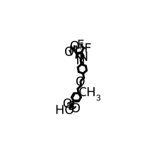 CC1(CCOCC2CCC(n3cc([N+](=O)[O-])c(C(F)F)n3)CC2)C=CC(S(=O)(=O)O)=CC1